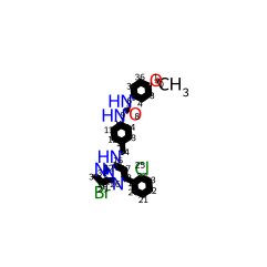 COc1ccc(NC(=O)Nc2ccc(CNc3cc(-c4ccccc4Cl)nc4c(Br)cnn34)cc2)cc1